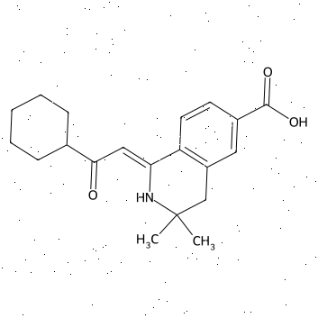 CC1(C)Cc2cc(C(=O)O)ccc2/C(=C/C(=O)C2CCCCC2)N1